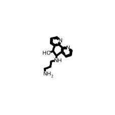 NCCCNC1c2cccnc2-c2ncccc2C1O